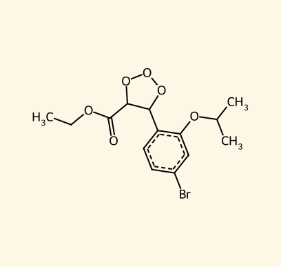 CCOC(=O)C1OOOC1c1ccc(Br)cc1OC(C)C